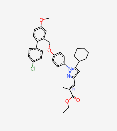 CCOC(=O)/C(C)=C/c1cc(C2CCCCC2)n(-c2ccc(OCc3cc(OC)ccc3-c3ccc(Cl)cc3)cc2)n1